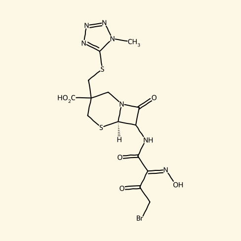 Cn1nnnc1SCC1(C(=O)O)CS[C@@H]2C(NC(=O)C(=NO)C(=O)CBr)C(=O)N2C1